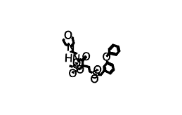 CS(=O)(=O)OC(CCS(=O)(=O)Cc1cccc(Oc2ccccc2)c1)C(=O)NCCN1CCOCC1